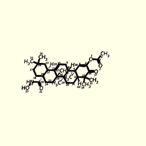 CC(=O)OC1=C[C@]2(C)[C@H]3CC=C4[C@@H]5CC(C)(C)CC[C@]5(C(=O)NO)CC[C@@]4(C)[C@]3(C)CC[C@H]2C(C)(C)C1=O